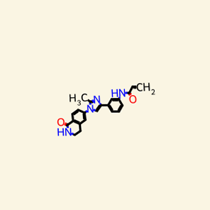 C=CC(=O)Nc1cccc(-c2cn(-c3ccc4c(c3)CCNC4=O)c(C)n2)c1